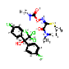 CNC(=O)O/N=C(/SC)C(=O)N(C)C.OC(c1ccc(Cl)cc1)(c1ccc(Cl)cc1)C(Cl)(Cl)Cl